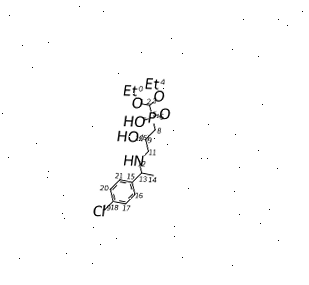 CCOC(OCC)P(=O)(O)C[C@@H](O)CNC(C)c1ccc(Cl)cc1